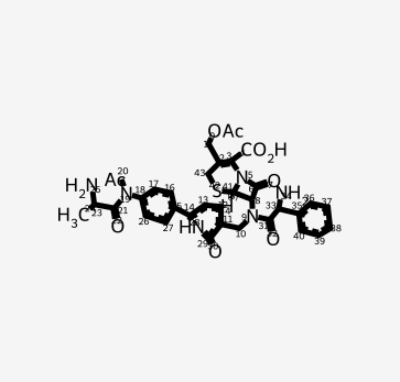 CC(=O)OCC1=C(C(=O)O)N2C(=O)C(N(Cc3ccc(-c4ccc(N(C(C)=O)C(=O)C(C)N)cc4)[nH]c3=O)C(=O)C(N)c3ccccc3)[C@@H]2SC1